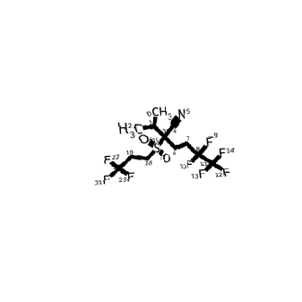 CC(C)C(C#N)(CCC(F)(F)C(F)(F)F)S(=O)(=O)CCC(F)(F)F